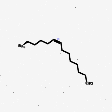 CC[C@H](C)CCCC/C=C\CCCCCCC=O